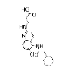 O=C(O)CCNc1ccc2c(NC(=O)CC3CCCCC3)c(Cl)ccc2n1